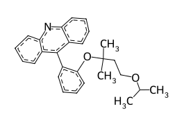 CC(C)OCCC(C)(C)Oc1ccccc1-c1c2ccccc2nc2ccccc12